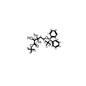 [2H]C([2H])(CCO[Si](c1ccccc1)(c1ccccc1)C(C)(C)C)C(O)C(=O)OC(C)(C)C